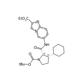 CCOC(=O)c1cn2cc(NC(=O)[C@@H]3[C@H](C4CCCCC4)CCN3C(=O)OC(C)(C)C)ccc2n1